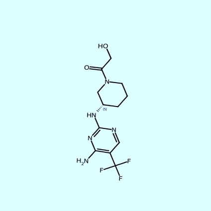 Nc1nc(N[C@H]2CCCN(C(=O)CO)C2)ncc1C(F)(F)F